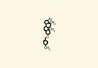 CC(=O)C1CCC2C3CC=C4CC(OCC5=CCC(C)C=C5)CCC4(C)C3CCC12C